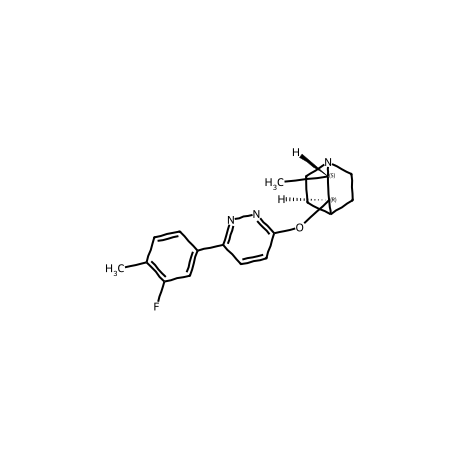 Cc1ccc(-c2ccc(O[C@@H]3C4CCN(CC4)[C@H]3C)nn2)cc1F